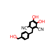 N#Cc1cc(O)c(O)c(C#N)c1Cc1ccc(CO)cc1